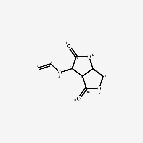 C=COC1C(=O)OC2COC(=O)C21